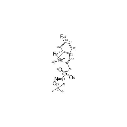 CC1(C)CC(S(=O)(=O)CC=Cc2ccc(F)cc2C(F)(F)F)=NO1